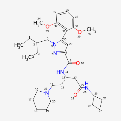 CCC(CC)Cn1nc(C(=O)N[C@@H](CCN2CCCCC2)CC(=O)NC2CCC2)cc1-c1c(OC)cccc1OC